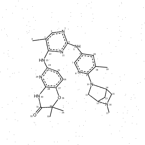 Cc1cnc(Nc2cnc(N3CC4CC3CN4C)c(C)c2)nc1Nc1ccc2c(n1)NC(=O)C(C)(C)O2